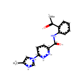 COC(=O)c1ccccc1NC(=O)c1ccc(-n2cnc(C)c2)nn1